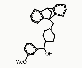 COc1cccc(C(O)C2CCN(CC34CC(c5ccccc53)c3ccccc34)CC2)c1